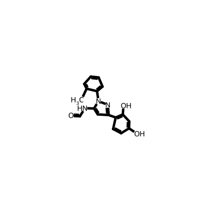 Cc1ccccc1-n1nc(-c2ccc(O)cc2O)cc1NC=O